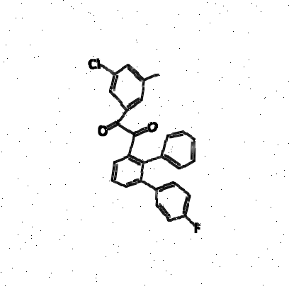 Cc1cc(Cl)cc(C(=O)C(=O)c2cccc(-c3ccc(F)cc3)c2-c2ccccc2)c1